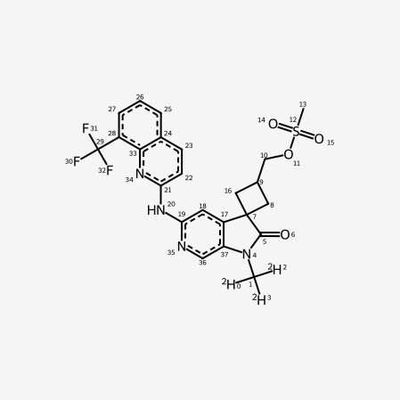 [2H]C([2H])([2H])N1C(=O)C2(CC(COS(C)(=O)=O)C2)c2cc(Nc3ccc4cccc(C(F)(F)F)c4n3)ncc21